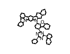 c1ccc(-c2nc(-c3cccc4ccccc34)nc(-c3ccc(-n4c5cc6ccccc6cc5c5cc6c7cccc8c9ccccc9n(c6cc54)c87)c4oc5ccccc5c34)n2)cc1